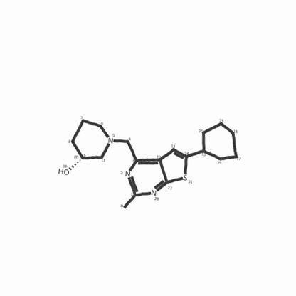 Cc1nc(CN2CCC[C@@H](O)C2)c2cc(C3CCCCC3)sc2n1